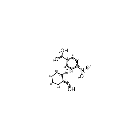 O=C(O)c1ccc([N+](=O)[O-])cc1.ON=C1CCCCC1Cl